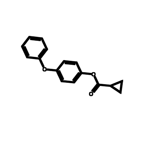 O=C(Oc1ccc(Oc2ccccc2)cc1)C1CC1